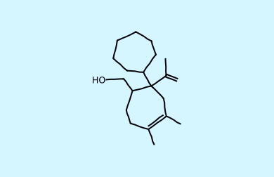 C=C(C)C1(C2CCCCCC2)CC(C)=C(C)CCC1CO